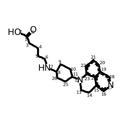 O=C(O)CCCCNC1CCC(N2CCc3cncc4cccc2c34)CC1